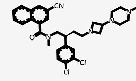 CN1CCN(C2CN(CC[C@H](CN(C)C(=O)c3cc(C#N)cc4ccccc34)c3ccc(Cl)c(Cl)c3)C2)CC1